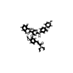 CCN(CC)C(=O)C=Cc1ccc(OC)c(Oc2nc(Nc3ccc(N4CCN(C)CC4)c(F)c3)ncc2C(=O)Nc2c(C)cccc2C)c1